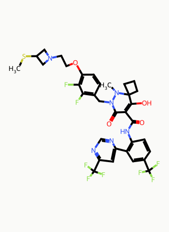 CSC1CN(CCOc2ccc(CN3C(=O)C(C(=O)Nc4ccc(C(F)(F)F)cc4-c4cc(C(F)(F)F)ncn4)=C(O)C4(CCC4)N3C)c(F)c2F)C1